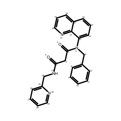 O=C(CC(=O)N(Cc1ccccc1)c1cccc2cccnc12)NCc1ccccn1